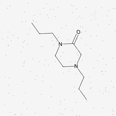 CCCN1CCN(CCC)C(=O)C1